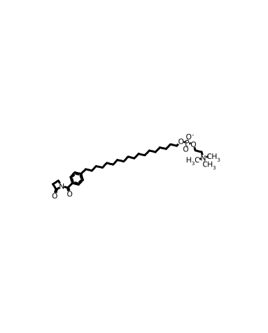 C[N+](C)(C)CCOP(=O)([O-])OCCCCCCCCCCCCCCCCCCc1ccc(C(=O)N2CCC2=O)cc1